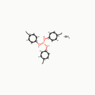 B.Cc1ccc(OP(Oc2ccc(C)cc2)Oc2ccc(C)cc2)cc1